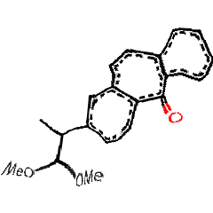 COC(OC)C(C)c1ccc2c(=O)c3ccccc3ccc2c1